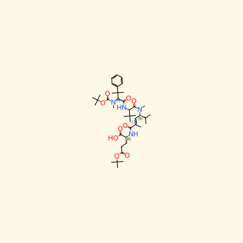 C/C(=C\[C@H](C(C)C)N(C)C(=O)C(NC(=O)[C@@H](N(C)C(=O)OC(C)(C)C)C(C)(C)c1ccccc1)C(C)(C)C)C(=O)N[C@@H](CCC(=O)OC(C)(C)C)C(=O)O